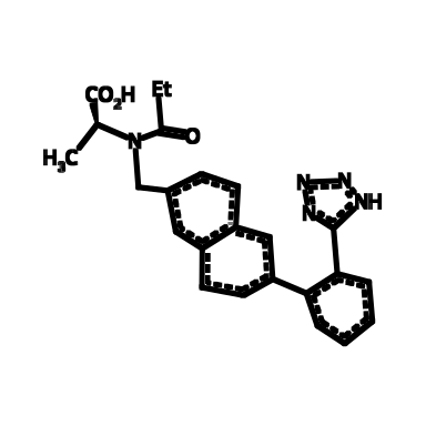 CCC(=O)N(Cc1ccc2cc(-c3ccccc3-c3nnn[nH]3)ccc2c1)[C@@H](C)C(=O)O